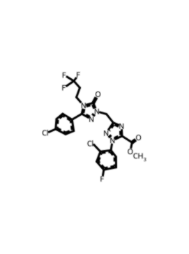 COC(=O)c1nc(Cn2nc(-c3ccc(Cl)cc3)n(CCC(F)(F)F)c2=O)nn1-c1ccc(F)cc1Cl